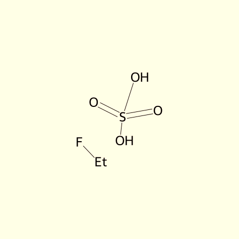 CCF.O=S(=O)(O)O